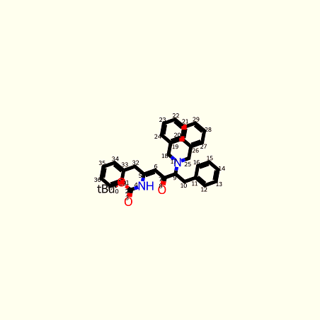 CC(C)(C)OC(=O)NC(=CC(=O)C(Cc1ccccc1)N(Cc1ccccc1)Cc1ccccc1)Cc1ccccc1